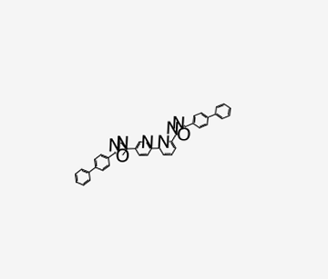 c1ccc(-c2ccc(-c3nnc(-c4ccc(-c5cccc(-c6nnc(-c7ccc(-c8ccccc8)cc7)o6)n5)nc4)o3)cc2)cc1